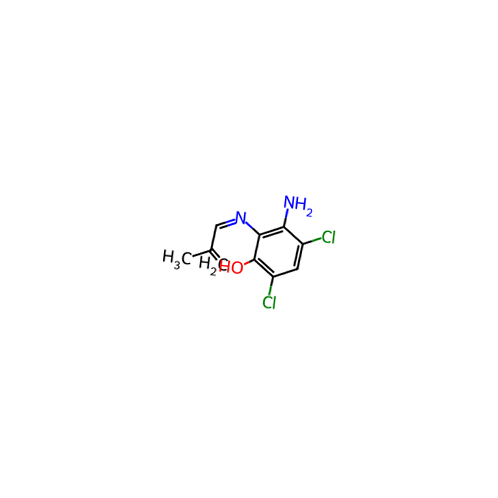 C=C(C)/C=N\c1c(N)c(Cl)cc(Cl)c1O